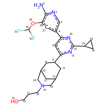 Nc1ncc(-c2cc(C3CC4CC(C3)CN(CCCO)C4)nc(C3CC3)n2)cc1OC(F)F